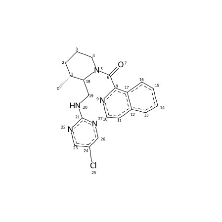 C[C@@H]1CCCN(C(=O)c2nccc3ccccc23)C1CNc1ncc(Cl)cn1